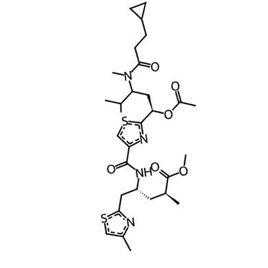 COC(=O)[C@@H](C)C[C@H](Cc1nc(C)cs1)NC(=O)c1csc([C@@H](CC(C(C)C)N(C)C(=O)CCC2CC2)OC(C)=O)n1